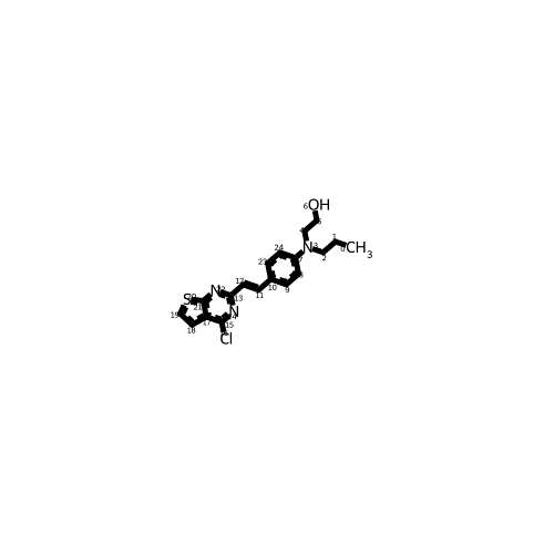 CCCN(CCO)c1ccc(/C=C/c2nc(Cl)c3ccsc3n2)cc1